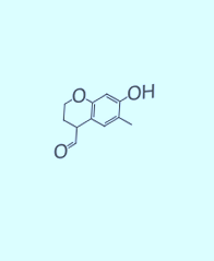 Cc1cc2c(cc1O)OCCC2C=O